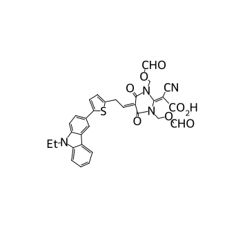 CCn1c2ccccc2c2cc(-c3ccc(CC=c4c(=O)n(COC=O)c(=C(C#N)C(=O)O)n(COC=O)c4=O)s3)ccc21